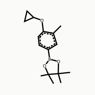 Cc1cc(B2OC(C)(C)C(C)(C)O2)ccc1OC1CC1